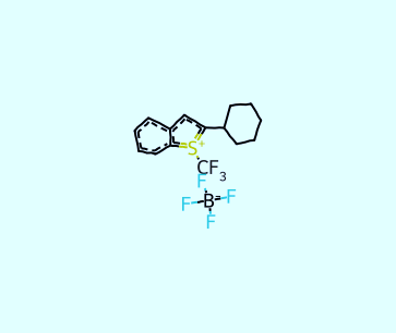 FC(F)(F)[s+]1c(C2CCCCC2)cc2ccccc21.F[B-](F)(F)F